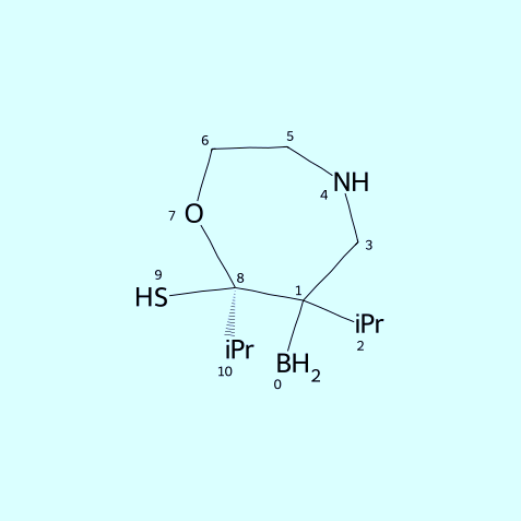 BC1(C(C)C)CNCCO[C@@]1(S)C(C)C